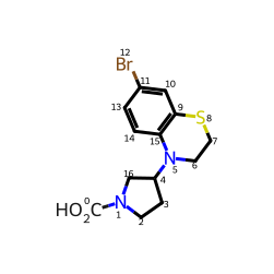 O=C(O)N1CCC(N2CCSc3cc(Br)ccc32)C1